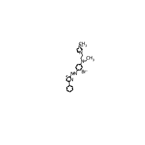 CCN(CCn1cc[n+](C)c1)c1ccc(/N=N/c2nc(-c3ccccc3)cs2)cc1.[Br-]